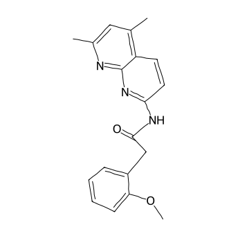 COc1ccccc1CC(=O)Nc1ccc2c(C)cc(C)nc2n1